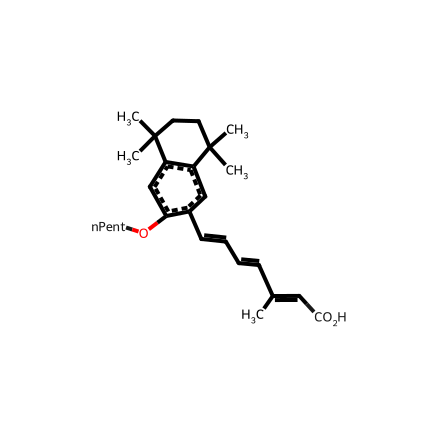 CCCCCOc1cc2c(cc1/C=C/C=C/C(C)=C/C(=O)O)C(C)(C)CCC2(C)C